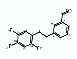 O=Cc1cccc(CCc2cc(F)c(F)cc2F)c1